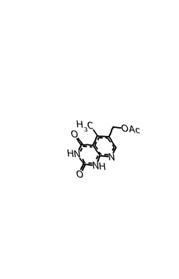 CC(=O)OCc1cnc2[nH]c(=O)[nH]c(=O)c2c1C